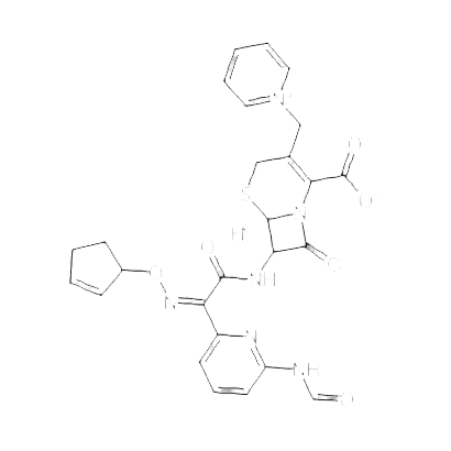 O=CNc1cccc(/C(=N/OC2C=CCC2)C(=O)NC2C(=O)N3C(C(=O)[O-])=C(C[n+]4ccccc4)CS[C@H]23)n1